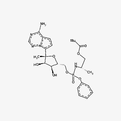 C[C@@H](COC(=O)C(C)(C)C)NP(=O)(OC[C@H]1O[C@@](C)(c2ccc3c(N)ncnn23)[C@H](O)[C@@H]1O)Oc1ccccc1